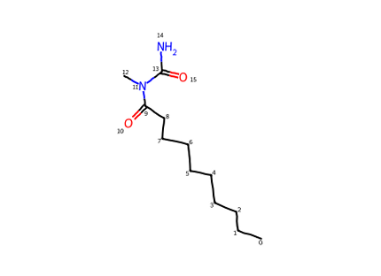 CCCCCCCCCC(=O)N(C)C(N)=O